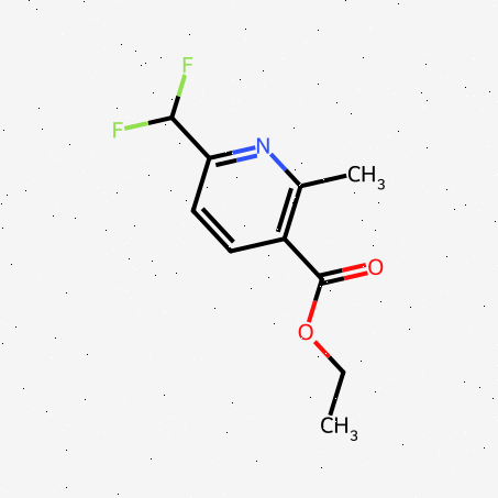 CCOC(=O)c1ccc(C(F)F)nc1C